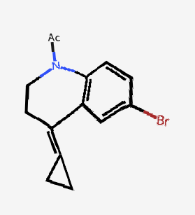 CC(=O)N1CCC(=C2CC2)c2cc(Br)ccc21